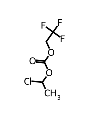 CC(Cl)OC(=O)OCC(F)(F)F